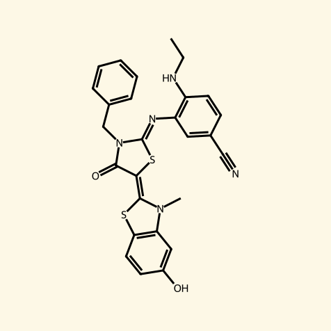 CCNc1ccc(C#N)cc1N=C1SC(=C2Sc3ccc(O)cc3N2C)C(=O)N1Cc1ccccc1